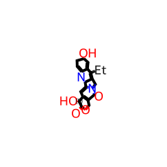 CCc1c2c(nc3c1=CC(O)CC=3)-c1cc3c(c(=O)n1C2)COC(=O)[C@H]3O